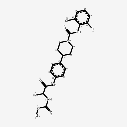 CC(C)C(NC(=O)OC(C)(C)C)C(=O)Nc1ccc(C2CCN(C(=O)Nc3c(Cl)cccc3Cl)CC2)cc1